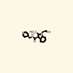 C#CCn1c(C(=O)O)c(C(=O)NCc2ccncc2)c2ccccc21